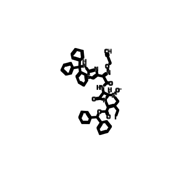 C#CCO/N=C(/C(=O)NC1C(=O)N2C(C(=O)OC(c3ccccc3)c3ccccc3)=C(CI)C[S+]([O-])[C@H]12)c1csc(NC(c2ccccc2)(c2ccccc2)c2ccccc2)n1